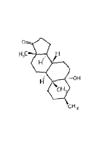 C[C@H]1CC[C@]2(C)[C@H]3CC[C@]4(C)C(=O)CC[C@H]4[C@@H]3CC[C@@]2(O)C1